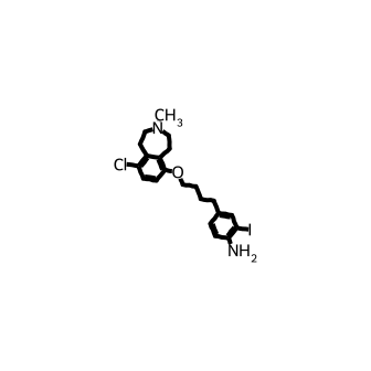 CN1CCc2c(Cl)ccc(OCCCCc3ccc(N)c(I)c3)c2CC1